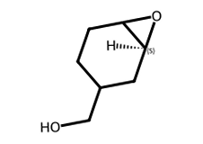 OCC1CCC2O[C@H]2C1